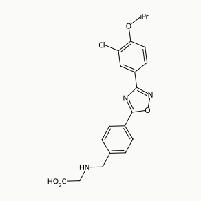 CC(C)Oc1ccc(-c2noc(-c3ccc(CNCC(=O)O)cc3)n2)cc1Cl